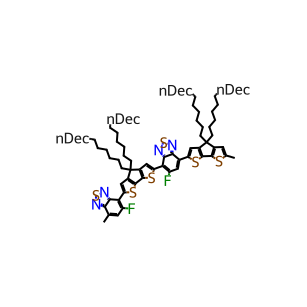 CCCCCCCCCCCCCCCCC1(CCCCCCCCCCCCCCCC)c2cc(C)sc2-c2sc(-c3cc(F)c(-c4cc5c(s4)-c4sc(-c6c(F)cc(C)c7nsnc67)cc4C5(CCCCCCCCCCCCCCCC)CCCCCCCCCCCCCCCC)c4nsnc34)cc21